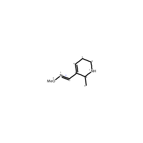 CO/N=C/C1=CCCNC1C